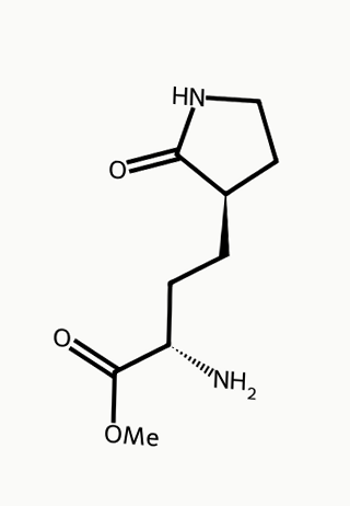 COC(=O)[C@@H](N)CC[C@@H]1CCNC1=O